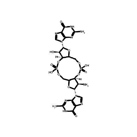 Nc1nc2c(ncn2[C@@H]2OC3COP(=O)(O)O[C@@H]4C(COP(=O)(O)O[C@H]3[C@H]2N)O[C@@H](n2cnc3c(=O)[nH]c(N)nc32)[C@@H]4O)c(=O)[nH]1